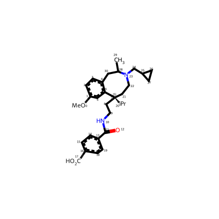 COc1ccc2c(c1)[C@](CCNC(=O)c1ccc(C(=O)O)cc1)(C(C)C)CCN(CC1CC1)C(C)C2